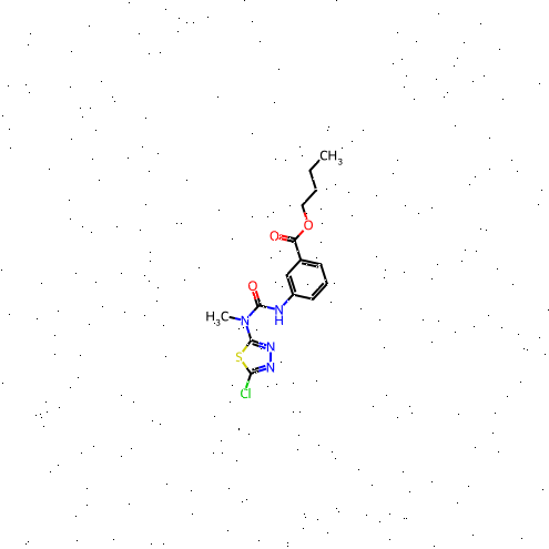 CCCCOC(=O)c1cccc(NC(=O)N(C)c2nnc(Cl)s2)c1